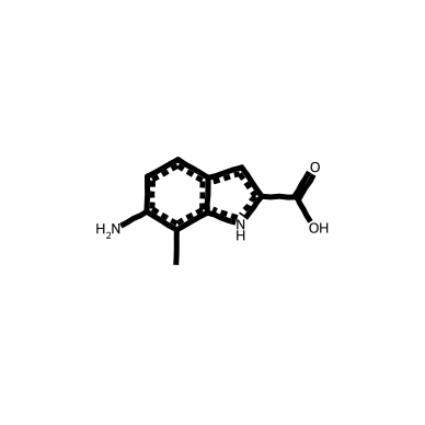 Cc1c(N)ccc2cc(C(=O)O)[nH]c12